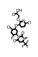 Cn1c(C(F)(F)F)cc(=O)n(-c2cc(Oc3ccc(Cl)nc3OCC(=O)O)c(Cl)cc2F)c1=O